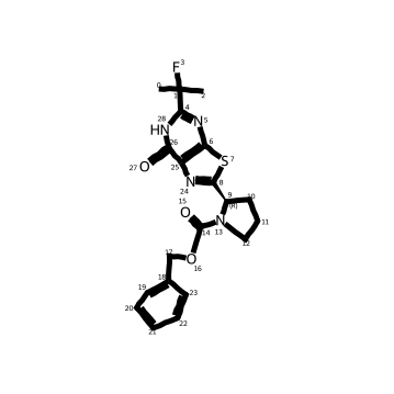 CC(C)(F)c1nc2sc([C@H]3CCCN3C(=O)OCc3ccccc3)nc2c(=O)[nH]1